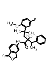 COc1ccc(F)cc1C(C)(C)CC(O)(C(=O)Nc1ccc2c(c1)COC2=O)C(C)c1ccccc1